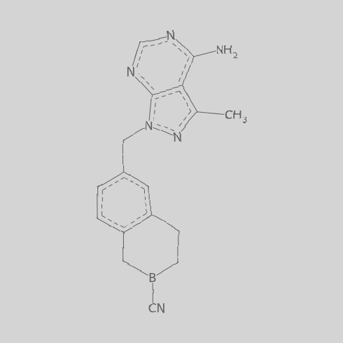 Cc1nn(Cc2ccc3c(c2)CCB(C#N)C3)c2ncnc(N)c12